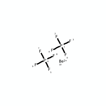 F[P-](F)(F)F.F[P-](F)(F)F.[Be+2]